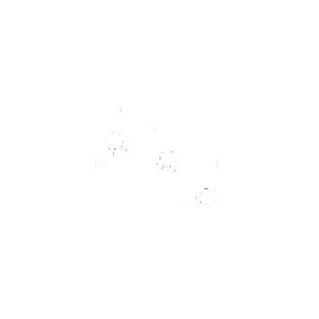 CC(C)Cc1cn(C)nc1CC(C)Cc1cc(CC(C)Cc2cccn2C)nn1C